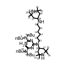 C=C(/N=C(\N=C(/N)N(CCCC)CCCC)N(CCCCCCNC1CC(C)(C)NC(C)(C)C1)C1CC(C)(C)NC(C)(C)C1)N(CCCC)CCCC